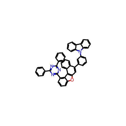 c1ccc(-c2nc(-c3ccccc3)nc(-c3cccc4oc5cc(-c6cccc(-n7c8ccccc8c8ccccc87)c6)c6ccccc6c5c34)n2)cc1